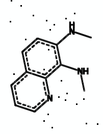 CNc1ccc2cccnc2c1NC